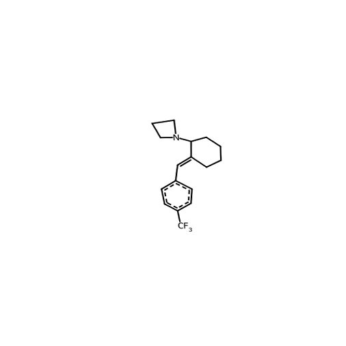 FC(F)(F)c1ccc(/C=C2\CCCCC2N2CCC2)cc1